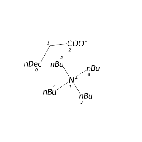 CCCCCCCCCCCC(=O)[O-].CCCC[N+](CCCC)(CCCC)CCCC